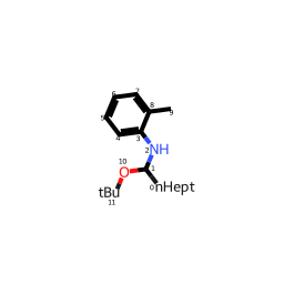 CCCCCCCC(Nc1ccccc1C)OC(C)(C)C